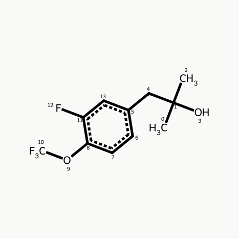 CC(C)(O)[CH]c1ccc(OC(F)(F)F)c(F)c1